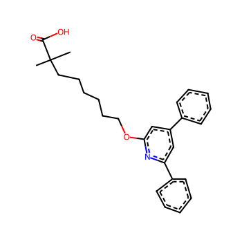 CC(C)(CCCCCCOc1cc(-c2ccccc2)cc(-c2ccccc2)n1)C(=O)O